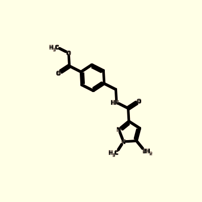 Bc1cc(C(=O)NCc2ccc(C(=O)OC)cc2)nn1C